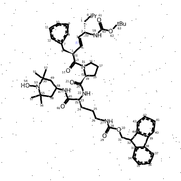 CC(C)C[C@@H](/C=C/[C@H](Cc1ccccc1)C(=O)N1CCC[C@H]1C(=O)N[C@@H](CCCNC(=O)OCC1c2ccccc2-c2ccccc21)C(=O)NC1CC(C)(C)N(O)C(C)(C)C1)NC(=O)OC(C)(C)C